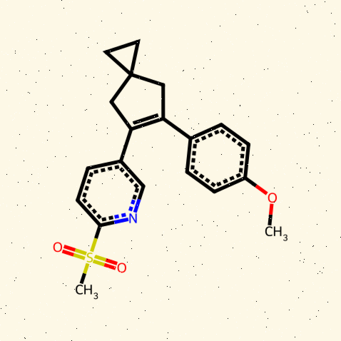 COc1ccc(C2=C(c3ccc(S(C)(=O)=O)nc3)CC3(CC3)C2)cc1